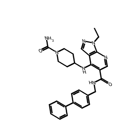 CCn1ncc2c(NC3CCN(C(N)=O)CC3)c(C(=O)NCc3ccc(-c4ccccc4)cc3)cnc21